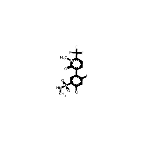 CNS(=O)(=O)c1cc(-c2ccc(C(F)(F)F)n(C)c2=O)c(F)cc1Cl